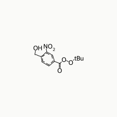 CC(C)(C)OOC(=O)c1ccc(CO)c([N+](=O)[O-])c1